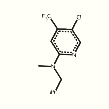 CC(C)CN(C)c1cc(C(F)(F)F)c(Cl)cn1